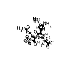 CC(=O)OC[C@H]1[C@@H](NC(=O)C(=NOC(C)(C)C(=O)[O-])c2csc(N)n2)C(=O)N1S(=O)(=O)[O-].[Na+].[Na+]